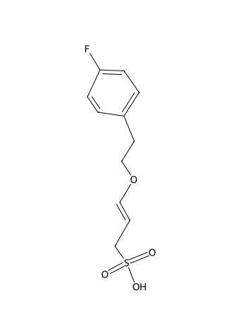 O=S(=O)(O)CC=COCCc1ccc(F)cc1